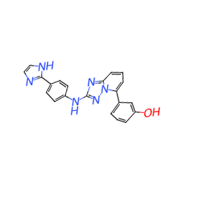 Oc1cccc(-c2cccc3nc(Nc4ccc(-c5ncc[nH]5)cc4)nn23)c1